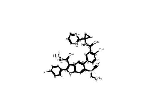 CCN(C#N)c1cc2oc(-c3ccc(F)cc3)c(C(=O)NC)c2cc1-c1ccc(F)c(C(=O)NC2(c3ncccn3)CC2)c1